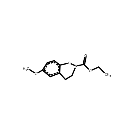 CCOC(=O)N1CCc2cc(OC)ccc2O1